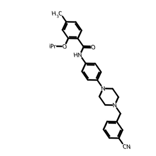 Cc1ccc(C(=O)Nc2ccc(N3CCN(Cc4cccc(C#N)c4)CC3)cc2)c(OC(C)C)c1